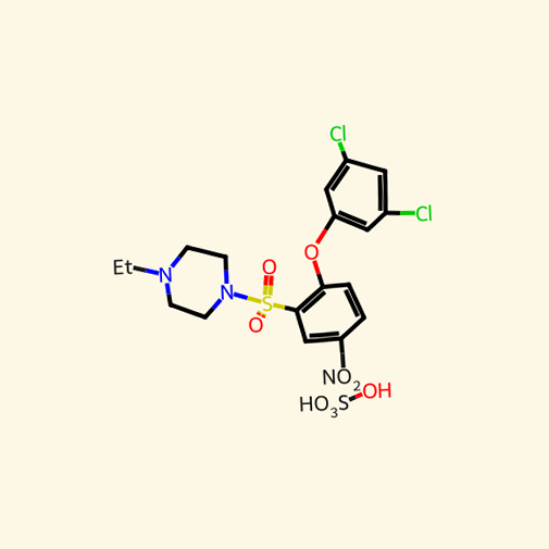 CCN1CCN(S(=O)(=O)c2cc([N+](=O)[O-])ccc2Oc2cc(Cl)cc(Cl)c2)CC1.O=S(=O)(O)O